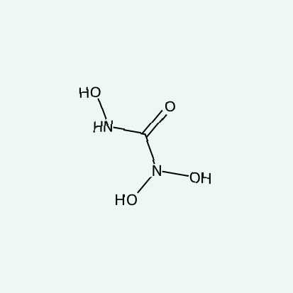 O=C(NO)N(O)O